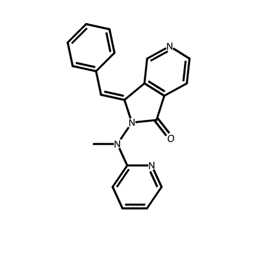 CN(c1ccccn1)N1C(=O)c2ccncc2C1=Cc1ccccc1